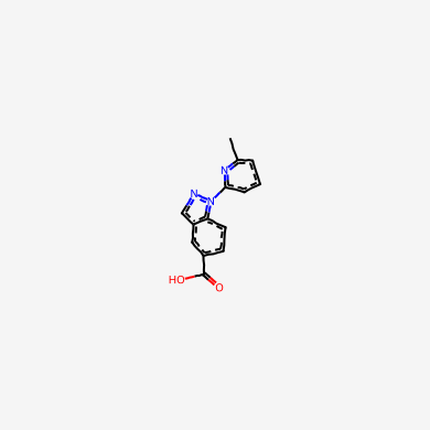 Cc1cccc(-n2ncc3cc(C(=O)O)ccc32)n1